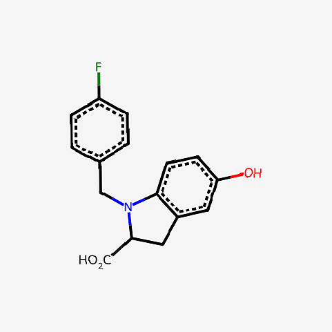 O=C(O)C1Cc2cc(O)ccc2N1Cc1ccc(F)cc1